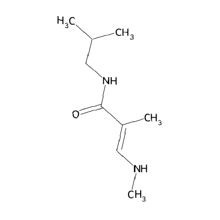 CN/C=C(\C)C(=O)NCC(C)C